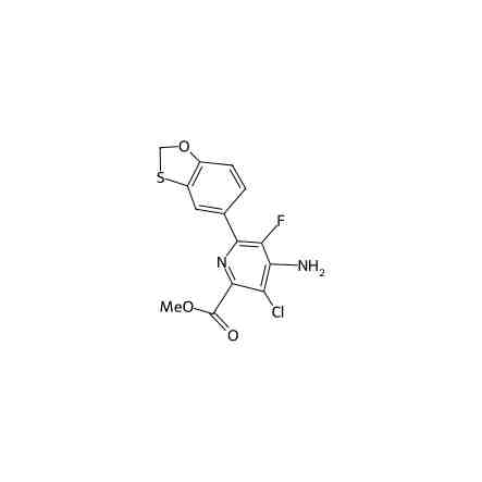 COC(=O)c1nc(-c2ccc3c(c2)SCO3)c(F)c(N)c1Cl